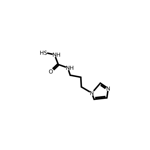 O=C(NS)NCCCn1ccnc1